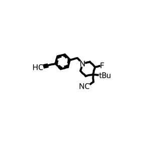 C#Cc1ccc(CN2CCC(CC#N)(C(C)(C)C)C(F)C2)cc1